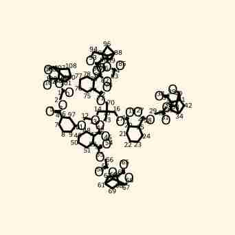 O=C(COC(=O)C1CCCC(OCOCC(COC(=O)C2CCCCC2C(=O)OCC(=O)OC2C3CC4C(=O)OC2C4C3)(COC(=O)C2CCCCC2C(=O)OCC(=O)OC2C3CC4C(=O)OC2C4C3)COC(=O)C2CCCCC2C(=O)OCC(=O)OC2C3CC4C(=O)OC2C4C3)C1)OC1C2CC3C(=O)OC1C3C2